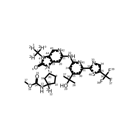 [2H]C([2H])([2H])n1c(=O)n([C@@H]2CC[C@]([2H])(NC(=O)OC)C2)c2cc(Nc3cc(C(C)(C)O)cc(-c4ncc(C(F)(F)F)s4)n3)ncc21